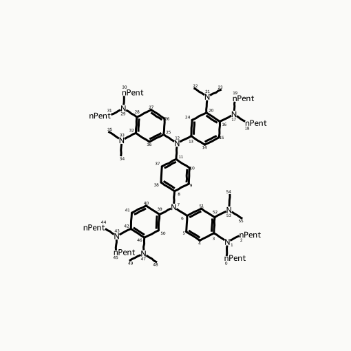 CCCCCN(CCCCC)c1ccc(N(c2ccc(N(c3ccc(N(CCCCC)CCCCC)c(N(C)C)c3)c3ccc(N(CCCCC)CCCCC)c(N(C)C)c3)cc2)c2ccc(N(CCCCC)CCCCC)c(N(C)C)c2)cc1N(C)C